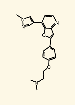 CN(C)CCOc1ccc(-c2cc3nccc(-c4cnn(C)c4)c3o2)cc1